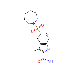 CNC(=O)c1[nH]c2ccc(S(=O)(=O)N3CCCCCC3)cc2c1C